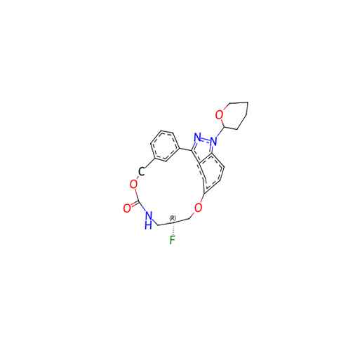 O=C1NC[C@@H](F)COc2ccc3c(c2)c(nn3C2CCCCO2)-c2cccc(c2)CO1